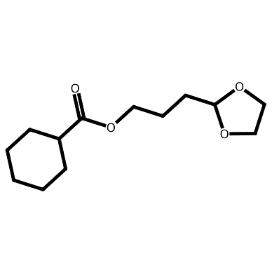 O=C(OCCCC1OCCO1)C1CCCCC1